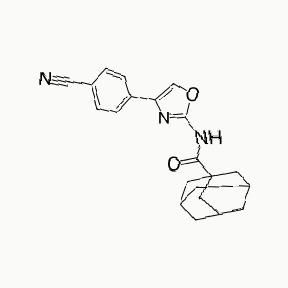 N#Cc1ccc(-c2coc(NC(=O)C34CC5CC(CC(C5)C3)C4)n2)cc1